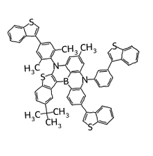 Cc1cc2c3c(c1)N(c1c(C)cc(-c4csc5ccccc45)cc1C)c1sc4ccc(C(C)(C)C)cc4c1B3c1ccc(-c3csc4ccccc34)cc1N2c1cccc(-c2csc3ccccc23)c1